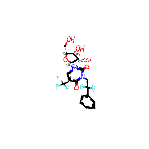 O=c1c(C(F)(F)F)cn([C@@H]2O[C@H](CO)[C@H](O)[C@@H]2O)c(=O)n1CC(F)(F)c1ccccc1